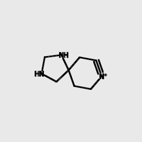 C1#[N+]CCC2(C1)CNCN2